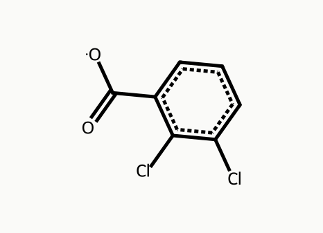 [O]C(=O)c1cccc(Cl)c1Cl